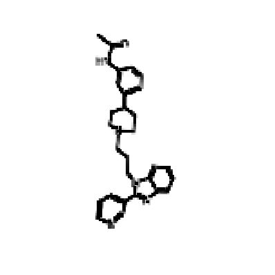 CC(=O)Nc1cccc(C2CCN(CCCn3c(-c4cccnc4)nc4ccccc43)CC2)c1